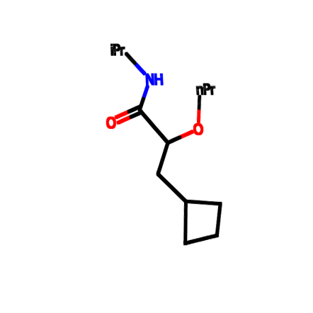 CCCOC(CC1CCC1)C(=O)NC(C)C